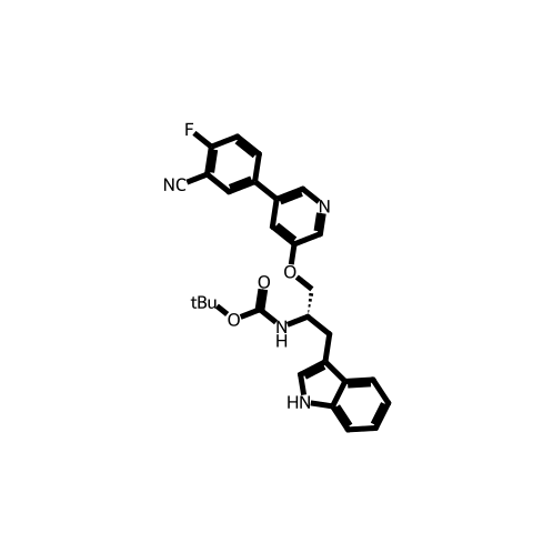 CC(C)(C)OC(=O)N[C@H](COc1cncc(-c2ccc(F)c(C#N)c2)c1)Cc1c[nH]c2ccccc12